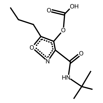 CCCc1onc(C(=O)NC(C)(C)C)c1OC(=O)O